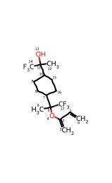 C=CC(=C)OC(C)(C1CCC(C(C)(O)C(F)(F)F)CC1)C(F)(F)F